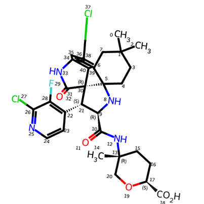 CC1(C)CCC2(CC1)N[C@@H](C(=O)N[C@]1(C)CC[C@@H](C(=O)O)OC1)[C@H](c1ccnc(Cl)c1F)[C@]21C(=O)Nc2cc(Cl)ccc21